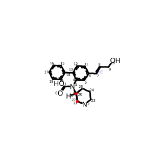 O=C(O)N(c1cc(/C=C/CO)ccc1-c1ccccc1)[C@H]1CN2CCC1CC2